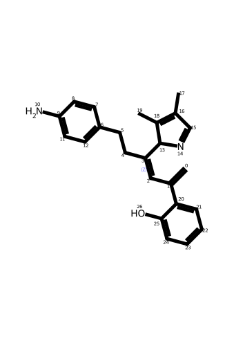 C=C(/C=C(/CCc1ccc(N)cc1)C1N=CC(C)=C1C)c1ccccc1O